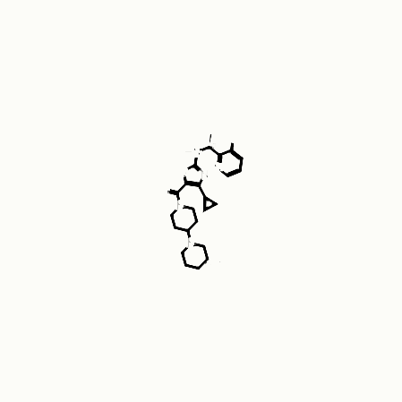 C[C@@H]1CCCN(C2CCN(C(=O)c3sc(N[C@@H](C)c4ncccc4F)nc3C3CC3)CC2)C1